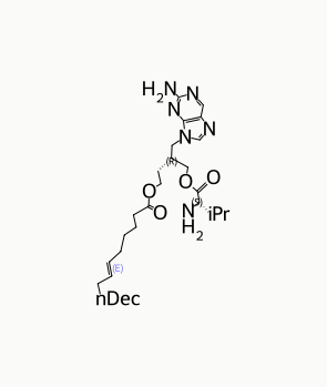 CCCCCCCCCCC/C=C/CCCCC(=O)OCC[C@@H](COC(=O)[C@@H](N)C(C)C)Cn1cnc2cnc(N)nc21